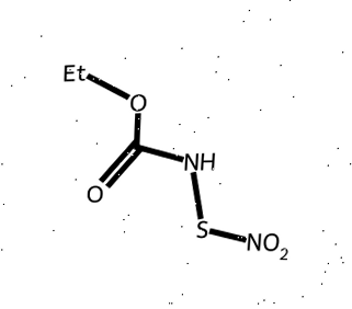 CCOC(=O)NS[N+](=O)[O-]